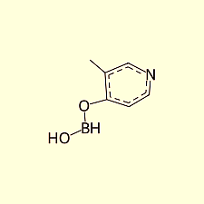 Cc1cnccc1OBO